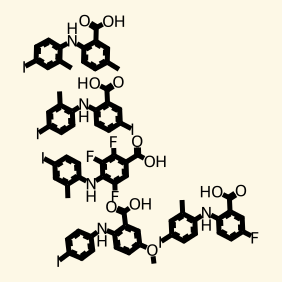 COc1ccc(Nc2ccc(I)cc2)c(C(=O)O)c1.Cc1cc(I)ccc1Nc1c(F)cc(C(=O)O)c(F)c1F.Cc1cc(I)ccc1Nc1ccc(F)cc1C(=O)O.Cc1cc(I)ccc1Nc1ccc(I)cc1C(=O)O.Cc1ccc(Nc2ccc(I)cc2C)c(C(=O)O)c1